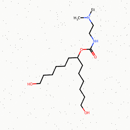 CCN(C)CCNC(=O)OC(CCCCCCO)CCCCCCO